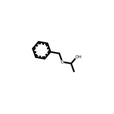 CC(O)OCc1ccccc1